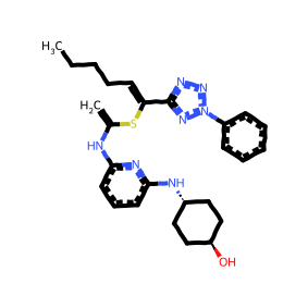 C=C(Nc1cccc(N[C@H]2CC[C@H](O)CC2)n1)S/C(=C\CCCC)c1nnn(-c2ccccc2)n1